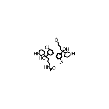 CC(=O)NCCCC(O)(c1cccc(Cl)c1)C1CCCNC1.COCCCC[C@@](O)(c1cccc(SC)c1)C1CCCNC1